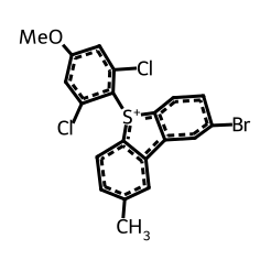 COc1cc(Cl)c(-[s+]2c3ccc(C)cc3c3cc(Br)ccc32)c(Cl)c1